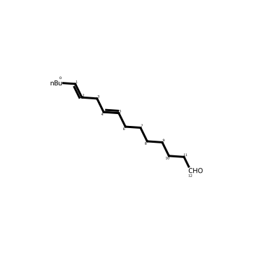 CCCC/C=C/C/C=C/CCCCCCC=O